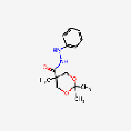 CC1(C)OCC(C)(C(=O)NNc2ccccc2)CO1